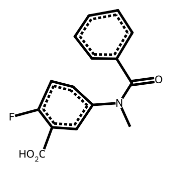 CN(C(=O)c1ccccc1)c1ccc(F)c(C(=O)O)c1